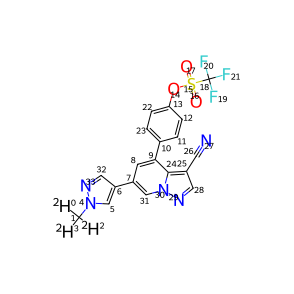 [2H]C([2H])([2H])n1cc(-c2cc(-c3ccc(OS(=O)(=O)C(F)(F)F)cc3)c3c(C#N)cnn3c2)cn1